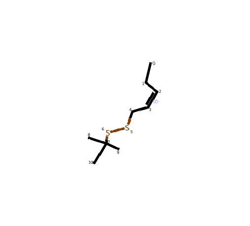 CC/C=C\CSSC(C)(C)C